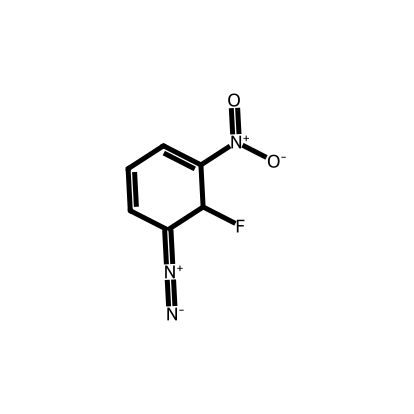 [N-]=[N+]=C1C=CC=C([N+](=O)[O-])C1F